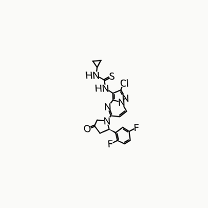 O=C1C[C@H](c2cc(F)ccc2F)N(c2ccn3nc(Cl)c(NC(=S)NC4CC4)c3n2)C1